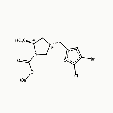 CC(C)(C)OC(=O)N1C[C@@H](Cc2cc(Br)c(Cl)s2)C[C@@H]1C(=O)O